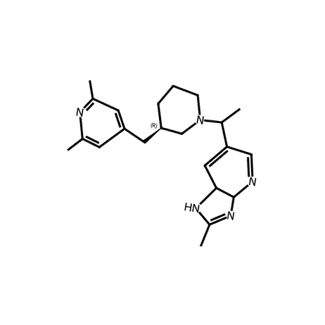 CC1=NC2N=CC(C(C)N3CCC[C@H](Cc4cc(C)nc(C)c4)C3)=CC2N1